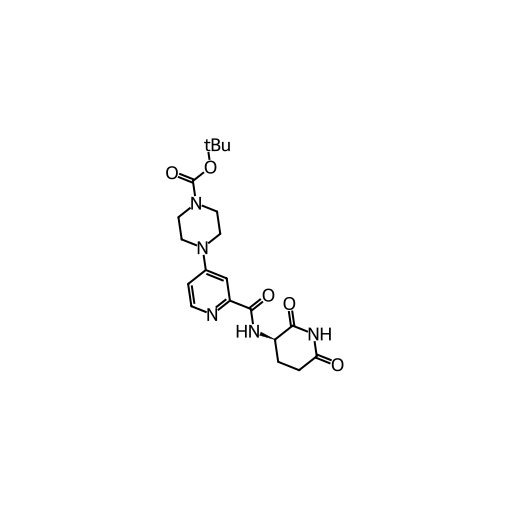 CC(C)(C)OC(=O)N1CCN(c2ccnc(C(=O)N[C@@H]3CCC(=O)NC3=O)c2)CC1